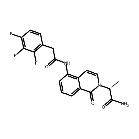 C[C@H](C(N)=O)n1ccc2c(NC(=O)Cc3ccc(F)c(F)c3F)cccc2c1=O